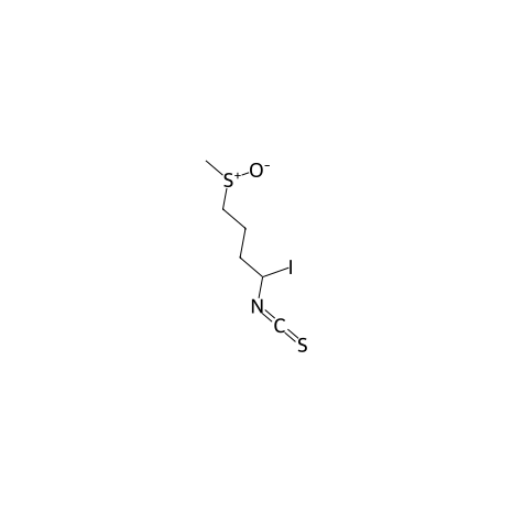 C[S+]([O-])CCCC(I)N=C=S